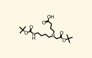 CC(C)(C)OC(=O)CN(CCCCNC(=O)OC(C)(C)C)CCCC(=O)O